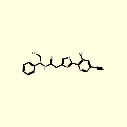 N#Cc1cnc(-c2nc(CC(=O)N[C@H](CO)c3ccccc3)cs2)c(O)c1